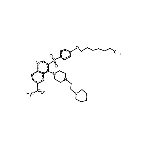 CCCCCCCOc1ccc(S(=O)(=O)c2cnc3ccc([S+](C)[O-])cc3c2N2CCN(CCN3CCCCC3)CC2)cc1